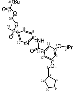 CC(C)Oc1cc(OCC2CCCC2)cc(C(=O)Nc2ccc(P(C)(=O)OCOC(=O)C(C)(C)C)cn2)c1